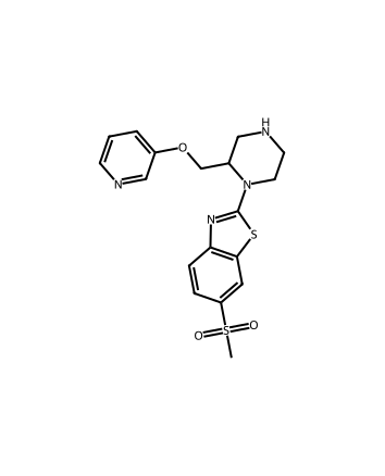 CS(=O)(=O)c1ccc2nc(N3CCNCC3COc3cccnc3)sc2c1